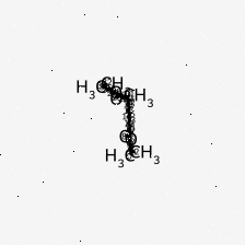 CC(C)CCCOC(=O)CCCCCCCCCCCC(C)CCC(=O)OCCCC(C)C